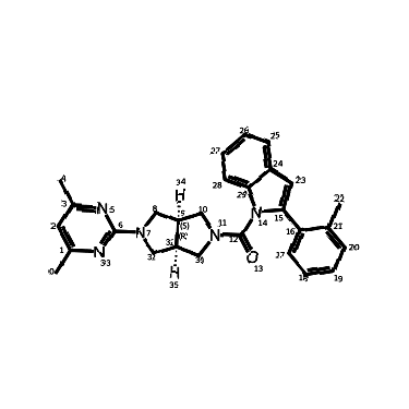 Cc1cc(C)nc(N2C[C@H]3CN(C(=O)n4c(-c5ccccc5C)cc5ccccc54)C[C@H]3C2)n1